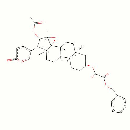 CC(=O)O[C@H]1[C@H]2O[C@]23[C@@H]2CC[C@@H]4C[C@@H](OC(=O)C(=O)OCc5ccccc5)CC[C@]4(C)[C@H]2CC[C@]3(C)[C@H]1c1ccc(=O)oc1